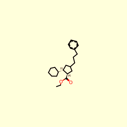 CCOC(=O)[C@@H]1CC(CCCc2ccccc2)C[C@H]1C1CCCCC1